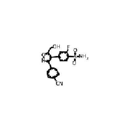 N#Cc1ccc(-c2noc(CO)c2-c2ccc(S(N)(=O)=O)c(F)c2)cc1